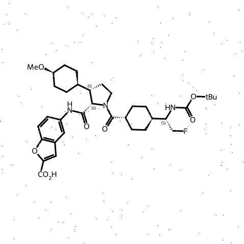 CO[C@H]1CC[C@@H]([C@@H]2CCN(C(=O)[C@H]3CC[C@H]([C@@H](CF)NC(=O)OC(C)(C)C)CC3)[C@@H]2C(=O)Nc2ccc3oc(C(=O)O)cc3c2)CC1